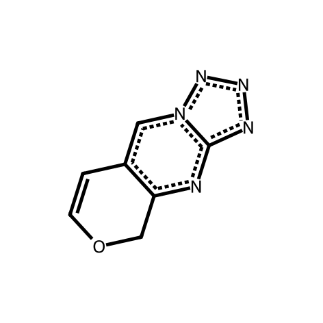 C1=Cc2cn3nnnc3nc2CO1